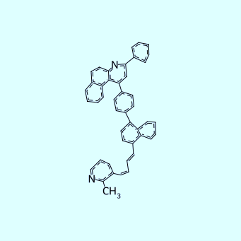 Cc1ncccc1/C=C\C=C\c1ccc(-c2ccc(-c3cc(-c4ccccc4)nc4ccc5ccccc5c34)cc2)c2ccccc12